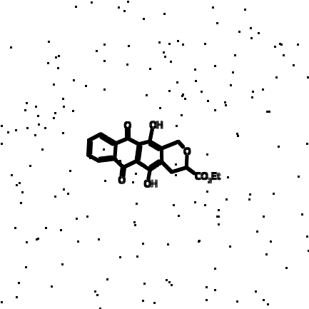 CCOC(=O)C1Cc2c(O)c3c(c(O)c2CO1)C(=O)c1ccccc1C3=O